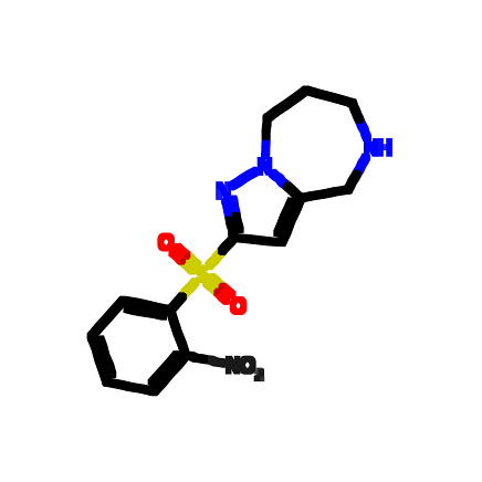 O=[N+]([O-])c1ccccc1S(=O)(=O)c1cc2n(n1)CCCNC2